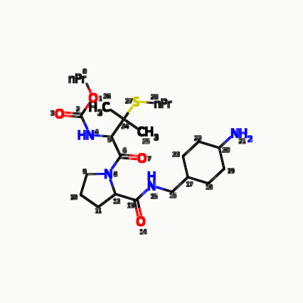 CCCOC(=O)NC(C(=O)N1CCCC1C(=O)NCC1CCC(N)CC1)C(C)(C)SCCC